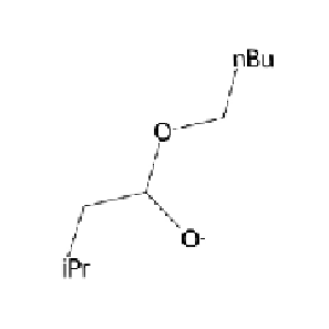 CCCCCOC([O])CC(C)C